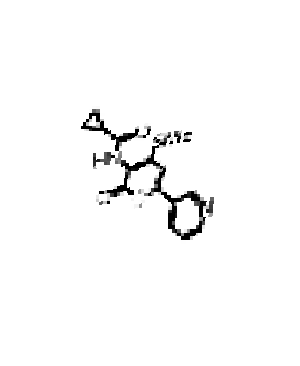 CSc1cc(-c2cccnc2)oc(=O)c1NC(=O)C1CC1